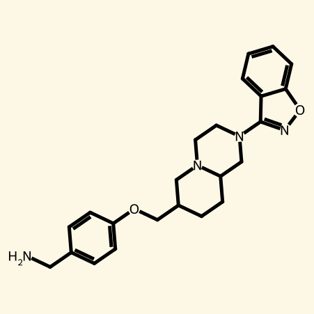 NCc1ccc(OCC2CCC3CN(c4noc5ccccc45)CCN3C2)cc1